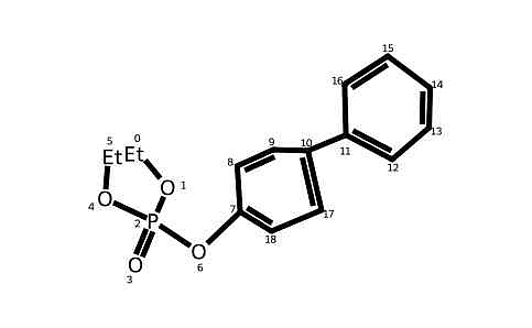 CCOP(=O)(OCC)Oc1ccc(-c2ccccc2)cc1